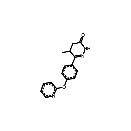 CC1CC(=O)NN=C1c1ccc(Oc2ccccn2)cc1